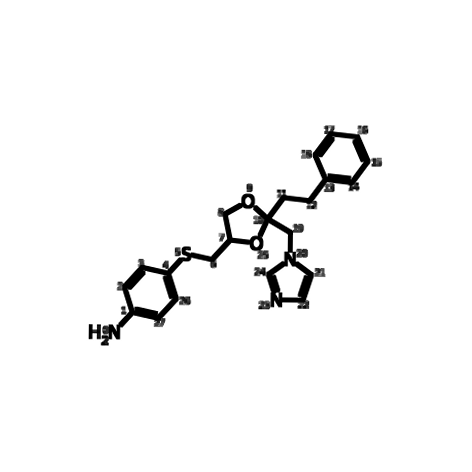 Nc1ccc(SCC2COC(CCc3ccccc3)(Cn3ccnc3)O2)cc1